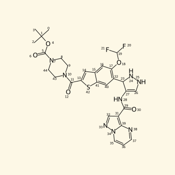 CC(C)(C)OC(=O)N1CCN(C(=O)c2cc3cc(OC(F)F)c(C4NNC=C4NC(=O)c4cnn5cccnc45)cc3s2)CC1